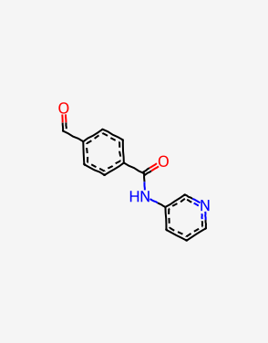 O=Cc1ccc(C(=O)Nc2cccnc2)cc1